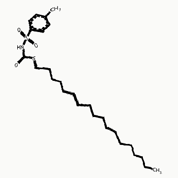 CCCCCCCCCCCCCCCCCCSC(=O)NS(=O)(=O)c1ccc(C)cc1